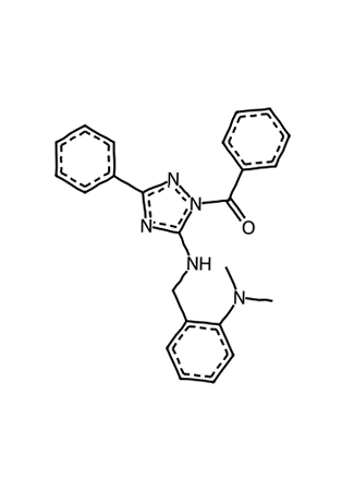 CN(C)c1ccccc1CNc1nc(-c2ccccc2)nn1C(=O)c1ccccc1